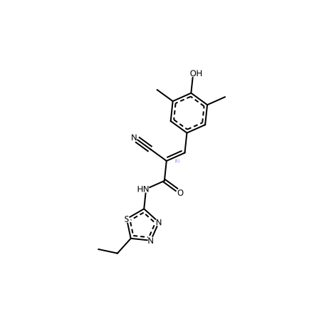 CCc1nnc(NC(=O)/C(C#N)=C/c2cc(C)c(O)c(C)c2)s1